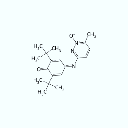 Cc1ccc(N=C2C=C(C(C)(C)C)C(=O)C(C(C)(C)C)=C2)n[n+]1[O-]